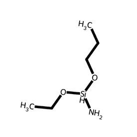 CCCO[SiH](N)OCC